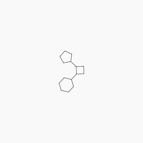 C1CCC(C2CC[C]2C2CCCC2)CC1